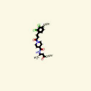 COC(=O)CC(C)NC(=O)C1CCN(C(=O)C=Cc2ccc(SC)c(Cl)c2Cl)CC1